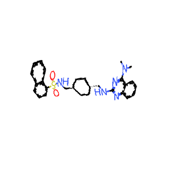 CN(C)c1nc(NC[C@H]2CC[C@H](CNS(=O)(=O)c3cccc4ccccc34)CC2)nc2ccccc12